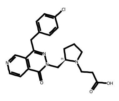 O=C(O)CCN1CCC[C@@H]1Cn1nc(Cc2ccc(Cl)cc2)c2cnccc2c1=O